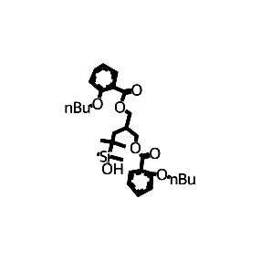 CCCCOc1ccccc1C(=O)OCC(COC(=O)c1ccccc1OCCCC)CC(C)(C)[Si](C)(C)O